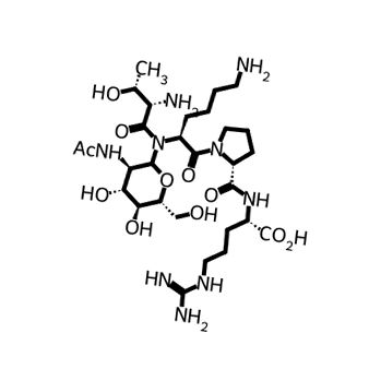 CC(=O)N[C@H]1C(N(C(=O)[C@@H](N)[C@@H](C)O)[C@@H](CCCCN)C(=O)N2CCC[C@@H]2C(=O)N[C@@H](CCCNC(=N)N)C(=O)O)O[C@H](CO)[C@@H](O)[C@@H]1O